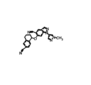 Cn1cc(-n2ncc3cc(C#N)c(OC4CCCc5cc(C#N)ccc54)cc32)cn1